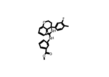 COC(=O)c1cccc(NC(=O)N[C@]2(c3ccc(C)c(F)c3)CCOc3cccnc32)c1